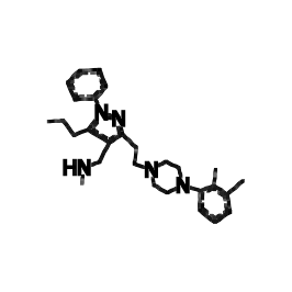 CCCc1c(CNC)c(CCN2CCN(c3cccc(C)c3C)CC2)nn1-c1ccccc1